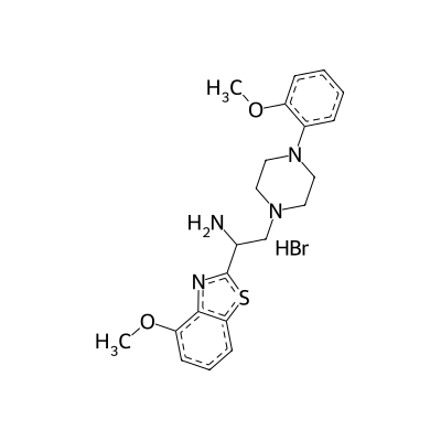 Br.COc1ccccc1N1CCN(CC(N)c2nc3c(OC)cccc3s2)CC1